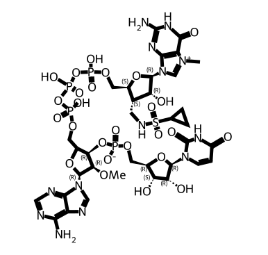 CO[C@@H]1[C@H](OP(=O)([O-])OC[C@H]2O[C@@H](n3ccc(=O)[nH]c3=O)[C@H](O)[C@@H]2O)C(COP(=O)(O)OP(=O)(O)OP(=O)(O)OC[C@H]2O[C@@H](n3c[n+](C)c4c(=O)[nH]c(N)nc43)[C@H](O)[C@@H]2CNS(=O)(=O)C2CC2)O[C@H]1n1cnc2c(N)ncnc21